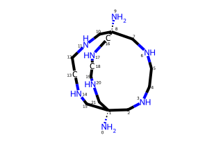 N[C@]12CNCCNC[C@](N)(CNCCNC1)CNCCNC2